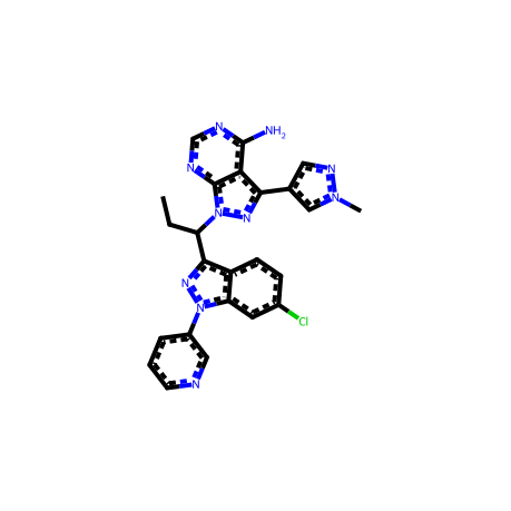 CCC(c1nn(-c2cccnc2)c2cc(Cl)ccc12)n1nc(-c2cnn(C)c2)c2c(N)ncnc21